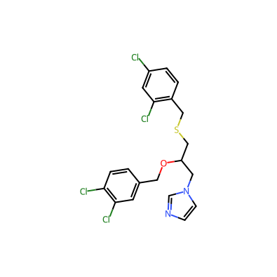 Clc1ccc(CSCC(Cn2ccnc2)OCc2ccc(Cl)c(Cl)c2)c(Cl)c1